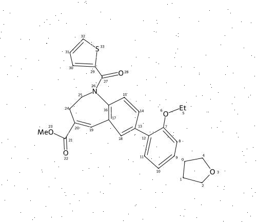 C1CCOC1.CCOc1ccccc1-c1ccc2c(c1)C=C(C(=O)OC)CCN2C(=O)c1cccs1